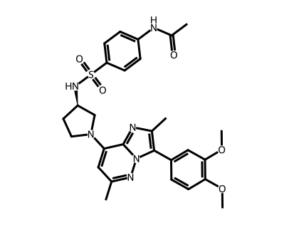 COc1ccc(-c2c(C)nc3c(N4CC[C@@H](NS(=O)(=O)c5ccc(NC(C)=O)cc5)C4)cc(C)nn23)cc1OC